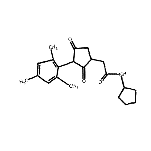 Cc1cc(C)c(C2C(=O)CC(CC(=O)NC3CCCC3)C2=O)c(C)c1